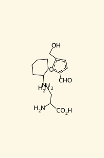 NC1CCCCC1.NCC(N)C(=O)O.O=Cc1ccc(CO)o1